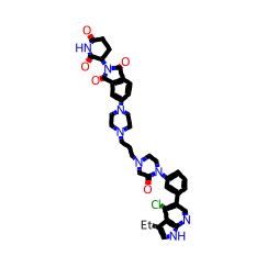 CCc1c[nH]c2ncc(-c3cccc(N4CCN(CCCN5CCN(c6ccc7c(c6)C(=O)N(C6CCC(=O)NC6=O)C7=O)CC5)CC4=O)c3)c(Cl)c12